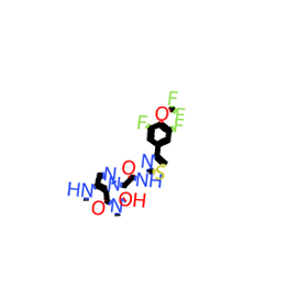 CNc1cnn(CC(=O)Nc2nc(-c3cc(F)c(OC(F)F)c(F)c3)cs2)c1C(=O)N(C)O